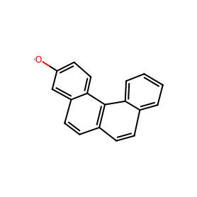 [O]c1ccc2c(ccc3ccc4ccccc4c32)c1